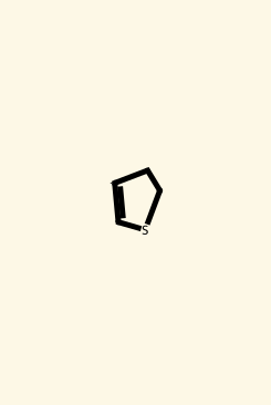 [C]1=CSCC1